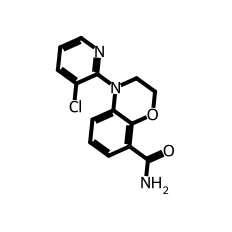 NC(=O)c1cccc2c1OCCN2c1ncccc1Cl